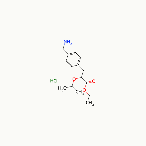 CCOC(=O)C(Cc1ccc(CN)cc1)OC(C)C.Cl